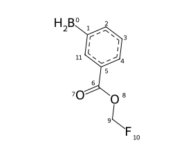 Bc1cccc(C(=O)OCF)c1